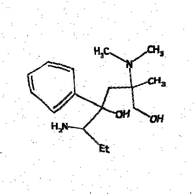 CCC(N)C(O)(CC(C)(CO)N(C)C)c1ccccc1